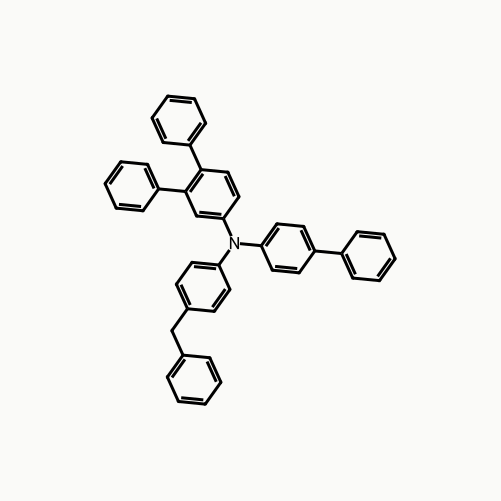 c1ccc(Cc2ccc(N(c3ccc(-c4ccccc4)cc3)c3ccc(-c4ccccc4)c(-c4ccccc4)c3)cc2)cc1